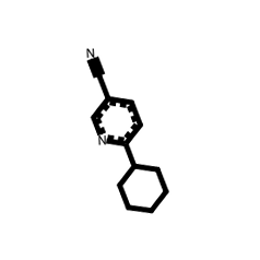 N#Cc1ccc(C2CCCCC2)nc1